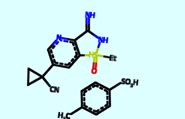 CC[SH]1(=O)NC(=N)c2ncc(C3(C#N)CC3)cc21.Cc1ccc(S(=O)(=O)O)cc1